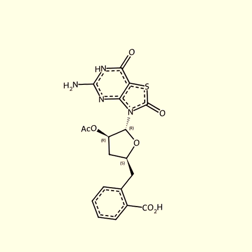 CC(=O)O[C@@H]1C[C@H](Cc2ccccc2C(=O)O)O[C@H]1n1c(=O)sc2c(=O)[nH]c(N)nc21